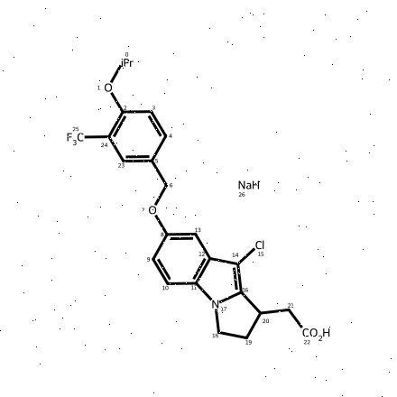 CC(C)Oc1ccc(COc2ccc3c(c2)c(Cl)c2n3CCC2CC(=O)O)cc1C(F)(F)F.[NaH]